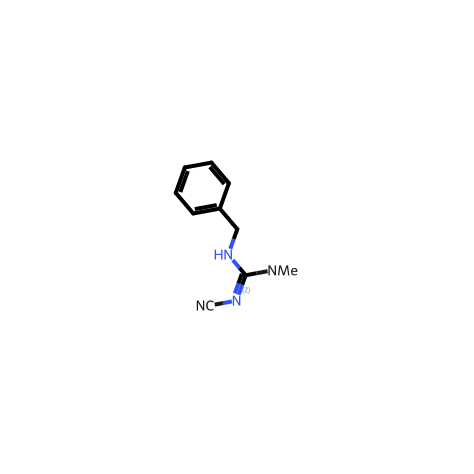 CN/C(=N/C#N)NCc1ccccc1